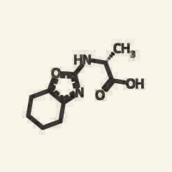 C[C@@H](Nc1nc2c(o1)CCCC2)C(=O)O